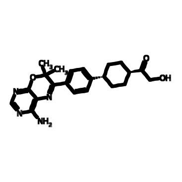 CC1(C)Oc2ncnc(N)c2N=C1c1ccc([C@H]2CC[C@H](C(=O)CO)CC2)cc1